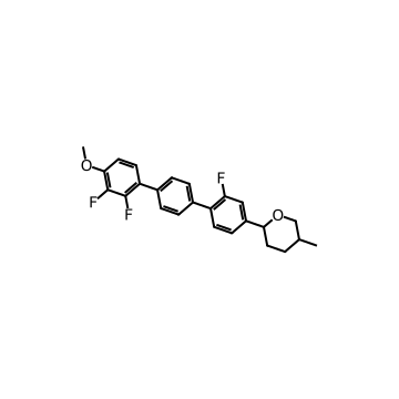 COc1ccc(-c2ccc(-c3ccc(C4CCC(C)CO4)cc3F)cc2)c(F)c1F